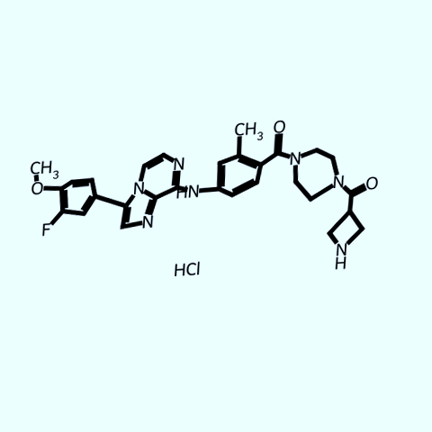 COc1ccc(-c2cnc3c(Nc4ccc(C(=O)N5CCN(C(=O)C6CNC6)CC5)c(C)c4)nccn23)cc1F.Cl